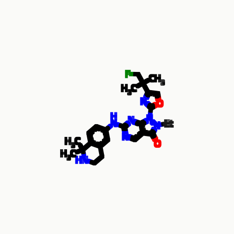 CCn1c(=O)c2cnc(Nc3ccc4c(c3)CCNC4(C)C)nc2n1-c1nc(C(C)(C)CF)co1